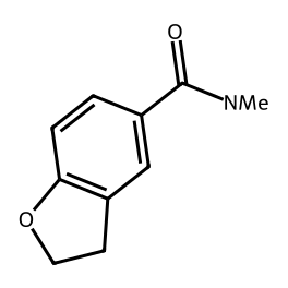 CNC(=O)c1ccc2c(c1)CCO2